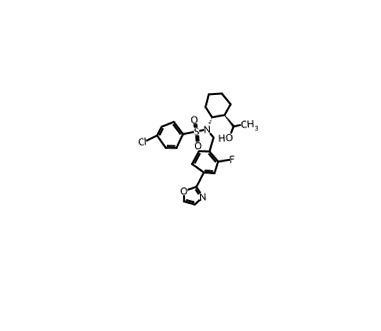 CC(O)[C@@H]1CCCC[C@H]1N(Cc1ccc(-c2ncco2)cc1F)S(=O)(=O)c1ccc(Cl)cc1